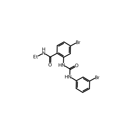 CCNC(=O)c1ccc(Br)cc1NC(=O)Nc1cccc(Br)c1